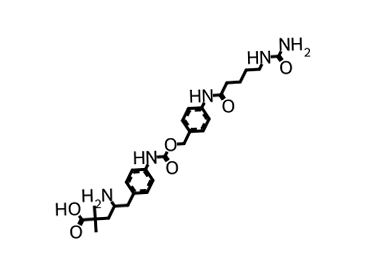 CC(C)(CC(N)Cc1ccc(NC(=O)OCc2ccc(NC(=O)CCCCNC(N)=O)cc2)cc1)C(=O)O